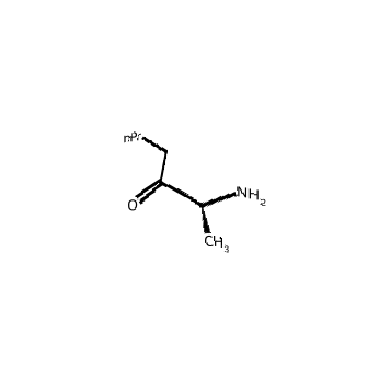 CCCCC(=O)[C@H](C)N